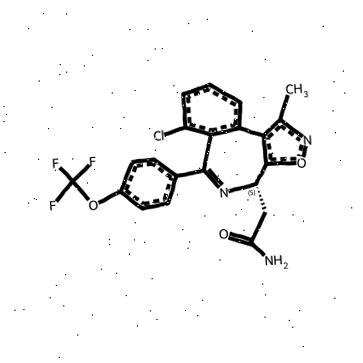 Cc1noc2c1-c1cccc(Cl)c1C(c1ccc(OC(F)(F)F)cc1)=N[C@H]2CC(N)=O